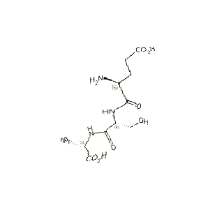 CCC[C@H](NC(=O)[C@@H](CO)NC(=O)[C@@H](N)CCC(=O)O)C(=O)O